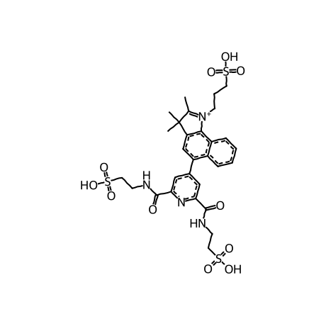 CC1=[N+](CCCS(=O)(=O)O)c2c(cc(-c3cc(C(=O)NCCS(=O)(=O)O)nc(C(=O)NCCS(=O)(=O)O)c3)c3ccccc23)C1(C)C